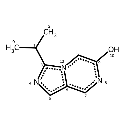 CC(C)c1ncc2cnc(O)cn12